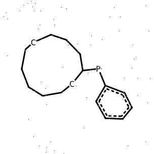 c1ccc([P]C2CCCCCCCCCC2)cc1